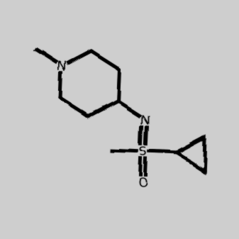 CN1CCC(N=S(C)(=O)C2CC2)CC1